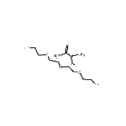 CC(=O)N(C)C.OCCOCCOCCOCCO